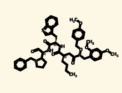 CCCC[C@H](CC(=O)N(Cc1ccc(OC)cc1OC)OCc1ccc(OC)cc1)C(=O)N[C@@H](Cc1csc2ccccc12)C(=O)N[C@H](C=O)C1CCCN1Cc1ccccc1